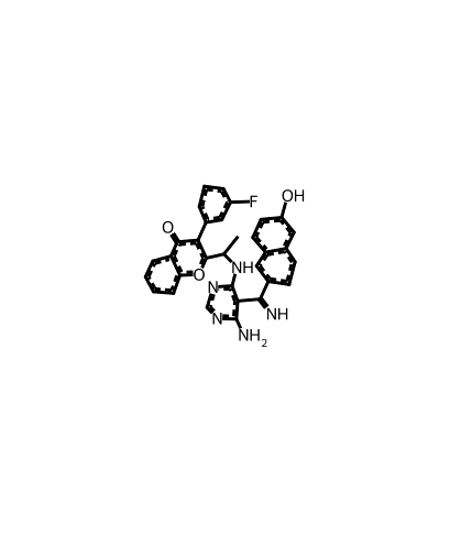 CC(Nc1ncnc(N)c1C(=N)c1ccc2cc(O)ccc2c1)c1oc2ccccc2c(=O)c1-c1cccc(F)c1